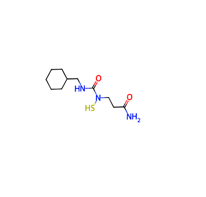 NC(=O)CCN(S)C(=O)NCC1CCCCC1